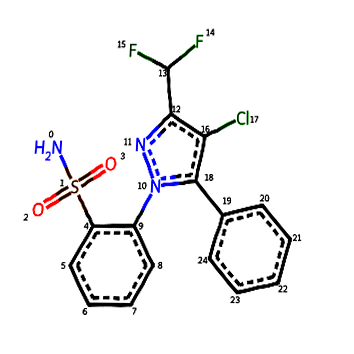 NS(=O)(=O)c1ccccc1-n1nc(C(F)F)c(Cl)c1-c1ccccc1